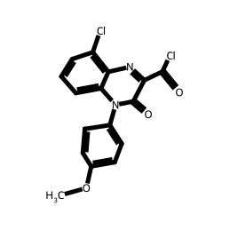 COc1ccc(-n2c(=O)c(C(=O)Cl)nc3c(Cl)cccc32)cc1